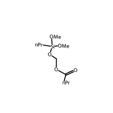 CCCC(=O)OCO[Si](CCC)(OC)OC